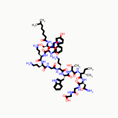 CC[C@H](C)[C@H](NC(=O)[C@@H](NC(=O)[C@H](Cc1c[nH]c2ccccc12)NC(=O)[C@@H](CCCN)NC(=O)CNC(=O)[C@@H](CCCN)NC(=O)[C@@H](CCCN)NC(=O)[C@@H](Cc1c[nH]c2ccccc12)NC(=O)[C@@H](Cc1ccc(O)cc1)NC(=O)[C@@H](CO)NC(=O)CCCCCC(C)C)[C@@H](C)O)C(=O)N[C@@H](CC(N)=O)C(=O)NCC(=O)NCC(=O)O